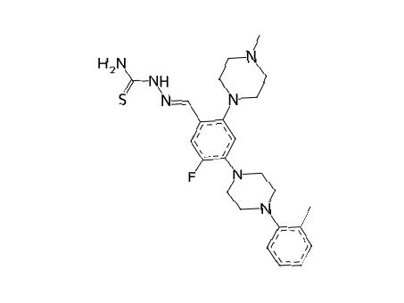 Cc1ccccc1N1CCN(c2cc(N3CCN(C)CC3)c(/C=N/NC(N)=S)cc2F)CC1